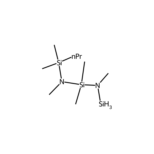 CCC[Si](C)(C)N(C)[Si](C)(C)N(C)[SiH3]